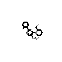 CCOC(=O)c1cnc(-c2ccccc2O)nc1N1CCCCC1CO